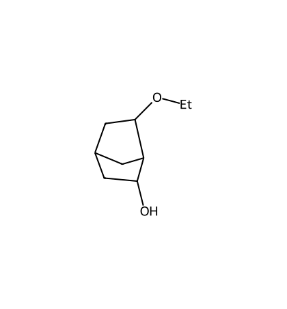 CCOC1CC2CC(O)C1C2